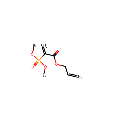 C=CCOC(=O)C(=C)P(=O)(OCC)OCC